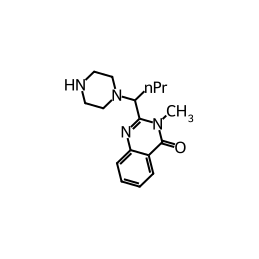 CCCC(c1nc2ccccc2c(=O)n1C)N1CCNCC1